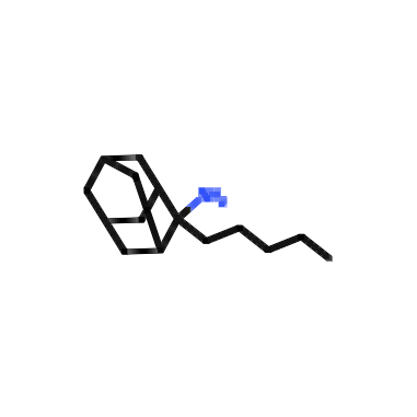 CCCCCC1(N)C2CC3CC(C2)CC1C3